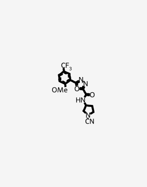 COc1ccc(C(F)(F)F)cc1-c1nnc(C(=O)NC2CCN(C#N)C2)o1